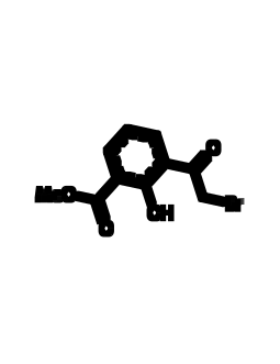 COC(=O)c1cccc(C(=O)CBr)c1O